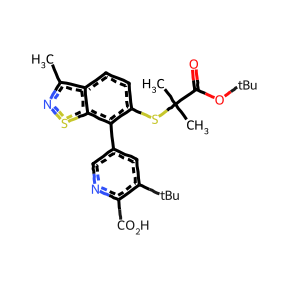 Cc1nsc2c(-c3cnc(C(=O)O)c(C(C)(C)C)c3)c(SC(C)(C)C(=O)OC(C)(C)C)ccc12